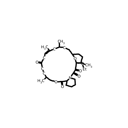 CCOC12OC(CCC(C)C/C(C)=C\CC(=O)CCC(C)COC(=O)C3CCCCN3C(=O)C1=O)CCC2C